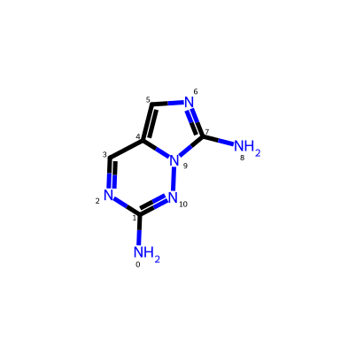 Nc1ncc2cnc(N)n2n1